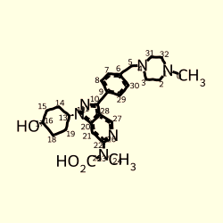 CN1CCN(Cc2ccc(-c3nn([C@H]4CC[C@H](O)CC4)c4cc(N(C)C(=O)O)ncc34)cc2)CC1